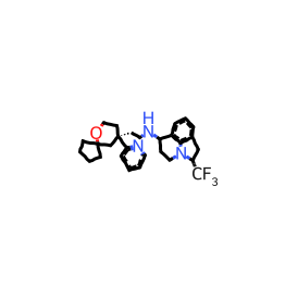 FC(F)(F)C1Cc2cccc3c2N1CCC3NCC[C@@]1(c2ccccn2)CCOC2(CCCC2)C1